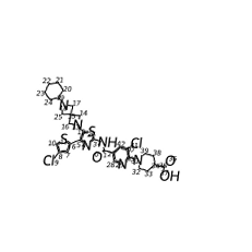 O=C(Nc1nc(-c2cc(Cl)cs2)c(N2CC3(C2)CN(C2CCCCC2)C3)s1)c1cnc(N2CCC(C(=O)O)CC2)c(Cl)c1